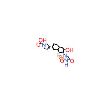 O=C1CN(c2c(O)cc3ccc([C@@H]4CCN(C(=O)O)C4)cc3c2F)S(=O)(=O)N1